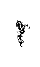 C[C@@]1(c2cc(-c3cc(-c4ncc(Cl)cn4)no3)ccc2F)C[S@@]2=NCCCCN2C(N)=N1